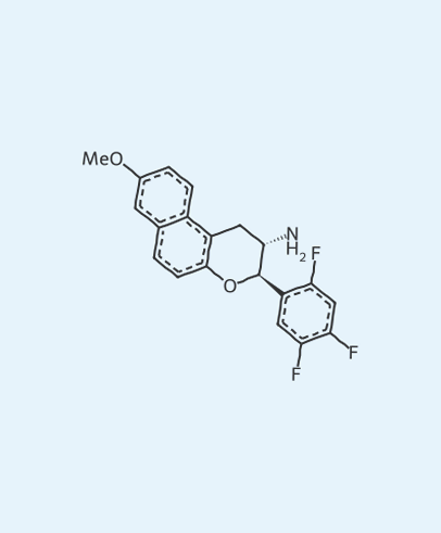 COc1ccc2c3c(ccc2c1)O[C@H](c1cc(F)c(F)cc1F)[C@@H](N)C3